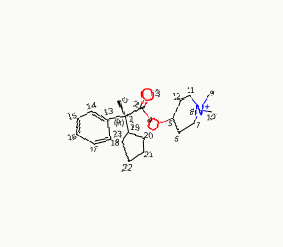 C[C@](C(=O)OC1CC[N+](C)(C)CC1)(c1ccccc1)C1CCCC1